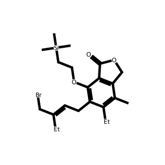 CC/C(=C\Cc1c(CC)c(C)c2c(c1OCC[Si](C)(C)C)C(=O)OC2)CBr